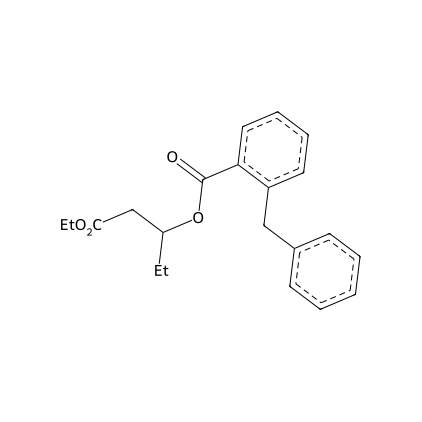 CCOC(=O)CC(CC)OC(=O)c1ccccc1Cc1ccccc1